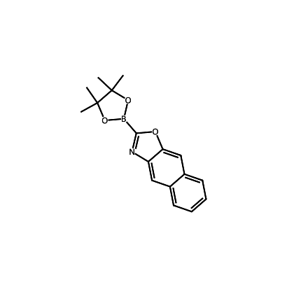 CC1(C)OB(c2nc3cc4ccccc4cc3o2)OC1(C)C